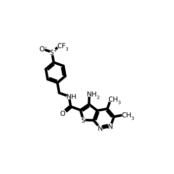 Cc1nnc2sc(C(=O)NCc3ccc([S+]([O-])C(F)(F)F)cc3)c(N)c2c1C